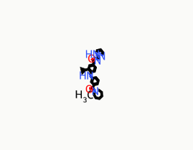 CC1CCCCCN1C(=O)c1cccc(Nc2ccc(C(=O)N=c3nccc[nH]3)cc2C2CC2)c1